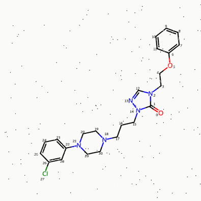 O=c1n(CCOc2ccccc2)cnn1CCCN1CCN(c2cccc(Cl)c2)CC1